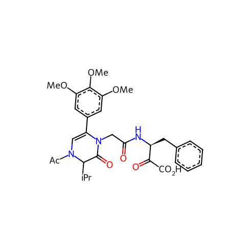 COc1cc(C2=CN(C(C)=O)C(C(C)C)C(=O)N2CC(=O)N[C@@H](Cc2ccccc2)C(=O)C(=O)O)cc(OC)c1OC